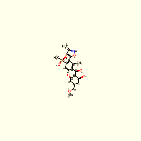 Cc1cc(-c2c(S(C)(=O)=O)ccc(C(=O)C3C(=O)CC(COC(C)(C)C)CC3=O)c2C)on1